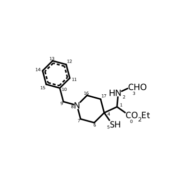 CCOC(=O)C(NC=O)C1(S)CCN(Cc2ccccc2)CC1